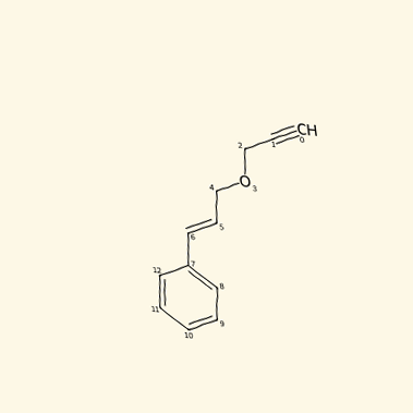 C#CCOC/C=C/c1ccccc1